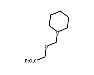 CCOC(=O)COCN1CCCCC1